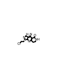 Nc1c2c(nc3c1cnn3CCCl)CCNC2=O